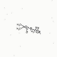 CCCCN(CCCC)c1ccc(/C=C/c2ccc(/C=C/C(C)=C(\C#N)C(OC)=C(C#N)C#N)s2)c(OCC2CO2)c1